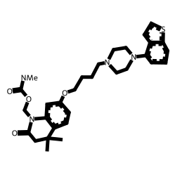 CNC(=O)OCN1C(=O)CC(C)(C)c2ccc(OCCCCN3CCN(c4cccc5sccc45)CC3)cc21